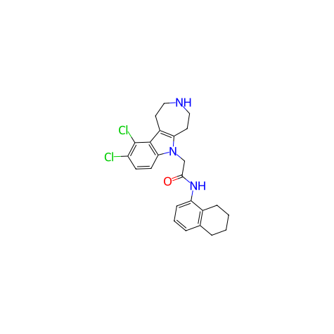 O=C(Cn1c2c(c3c(Cl)c(Cl)ccc31)CCNCC2)Nc1cccc2c1CCCC2